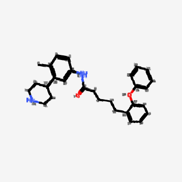 Cc1ccc(NC(=O)CCCCc2ccccc2Oc2ccccc2)cc1C1CCNCC1